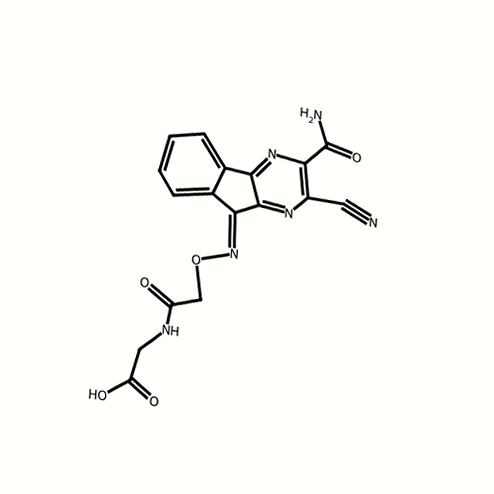 N#Cc1nc2c(nc1C(N)=O)-c1ccccc1C2=NOCC(=O)NCC(=O)O